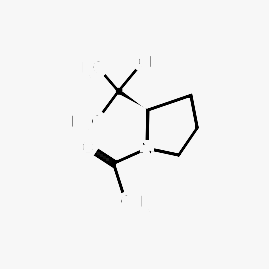 CC(=O)N1CCC[C@@H]1C(C)(C)C